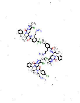 CCC(C)C(NC(=O)c1ccc(C)cc1CCCN)c1cc2c(Cl)c(C)nn2c(=O)n1Cc1ccccc1.Cc1nn2c(=O)n(Cc3ccccc3)c(C(C(C)C)N(CCCN)C(=O)c3ccc(Cl)cc3)cc2c1Br.Cc1nn2c(=O)n(Cc3ccccc3)c(C(NC(=O)c3ccc(C(F)(F)F)cc3CCCN)C(C)C)cc2c1Br